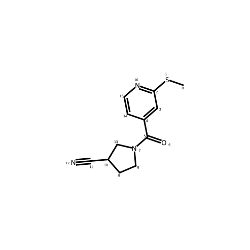 CSc1cc(C(=O)N2CCC(C#N)C2)ccn1